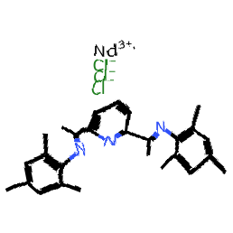 CC(=Nc1c(C)cc(C)cc1C)c1cccc(C(C)=Nc2c(C)cc(C)cc2C)n1.[Cl-].[Cl-].[Cl-].[Nd+3]